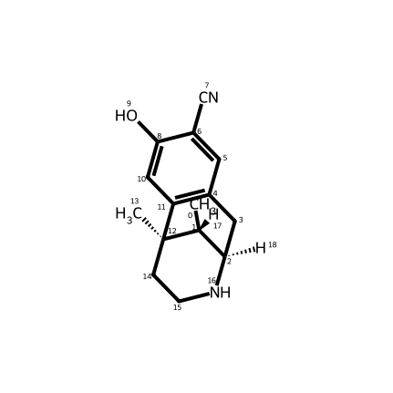 C[C@@H]1[C@H]2Cc3cc(C#N)c(O)cc3[C@]1(C)CCN2